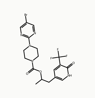 CC(Cc1c[nH]c(=O)c(C(F)(F)F)c1)OC(=O)N1CCN(c2ncc(Br)cn2)CC1